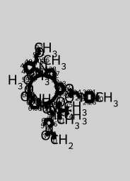 C=CC(=O)N1CC[C@H](C(=O)N(C)C(C(=O)N[C@H]2Cc3cc(OC(=O)CCN4CCN(C)CC4)cc(c3)-c3ccc4c(c3)c(c(-c3ccccc3CCOC)n4CC)CC(C)(C)COC(=O)[C@@H]3CCCN(N3)C2=O)C(C)C)C1